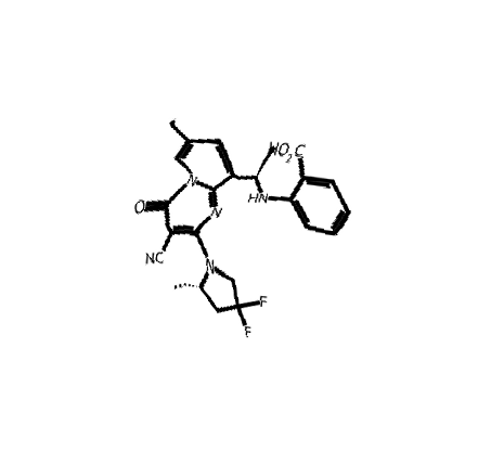 Cc1cc([C@@H](C)Nc2ccccc2C(=O)O)c2nc(N3CC(F)(F)C[C@@H]3C)c(C#N)c(=O)n2c1